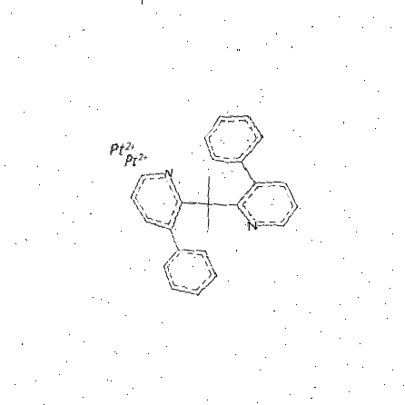 CC(C)(c1ncccc1-c1ccccc1)c1ncccc1-c1ccccc1.[Pt+2].[Pt+2]